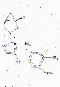 CNc1nc(Nc2cnn(C3CC4C[C@@H]4C3)c2C)ncc1C(F)(F)F